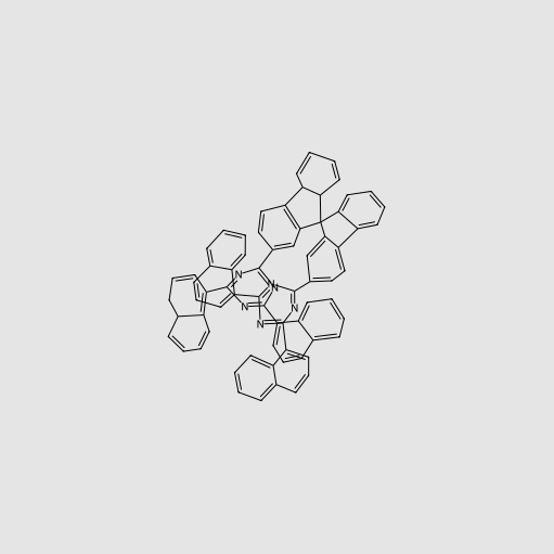 C1=CC2=C(c3nc(-c4ccc5c(c4)C4(c6ccccc6-c6ccc(-c7nc(-c8cccc9ccccc89)nc(-c8cccc9ccccc89)n7)cc64)C4C=CC=CC54)nc(-c4cccc5ccccc45)n3)C=CCC2C=C1